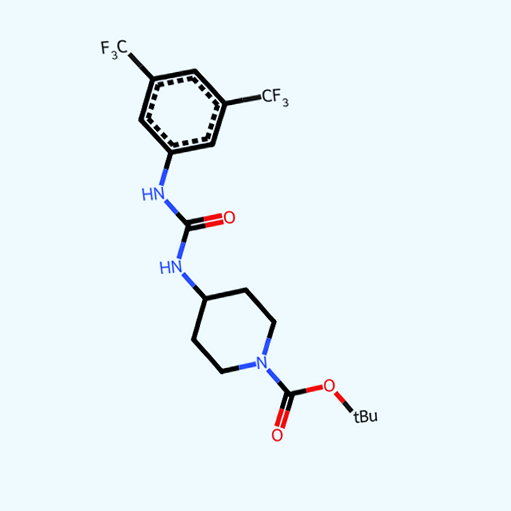 CC(C)(C)OC(=O)N1CCC(NC(=O)Nc2cc(C(F)(F)F)cc(C(F)(F)F)c2)CC1